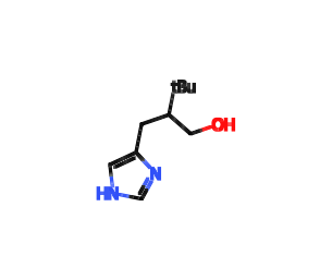 CC(C)(C)C(CO)Cc1c[nH]cn1